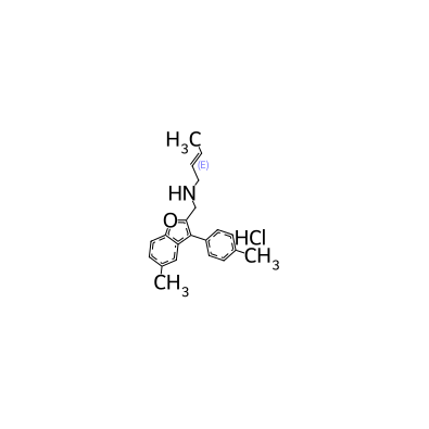 C/C=C/CNCc1oc2ccc(C)cc2c1-c1ccc(C)cc1.Cl